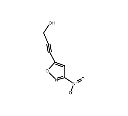 O=[N+]([O-])c1cc(C#CCO)on1